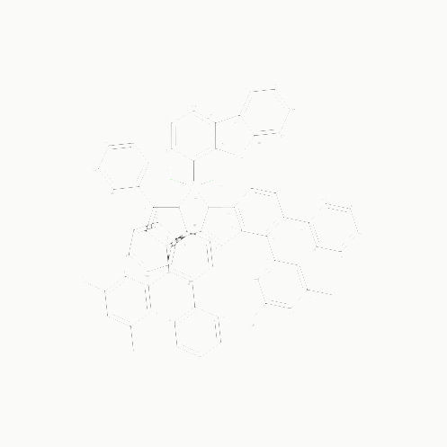 Cc1cc(C)cc(-c2c(-c3ccccc3)ccc3c2C=C(c2ccccc2)[CH]3[Zr]([Cl])([Cl])([c]2cccc3c2[SiH2]c2ccccc2-3)[CH]2C(c3ccccc3)=Cc3c2ccc(-c2ccccc2)c3-c2cc(C)cc(C)c2)c1